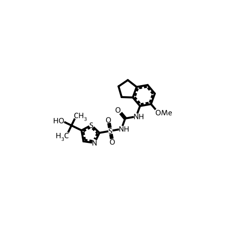 COc1ccc2c(c1NC(=O)NS(=O)(=O)c1ncc(C(C)(C)O)s1)CCC2